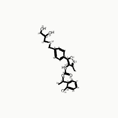 Cc1noc(-c2ccc(CSCC(O)CO)cc2)c1NC(=O)OC(C)c1ccccc1Cl